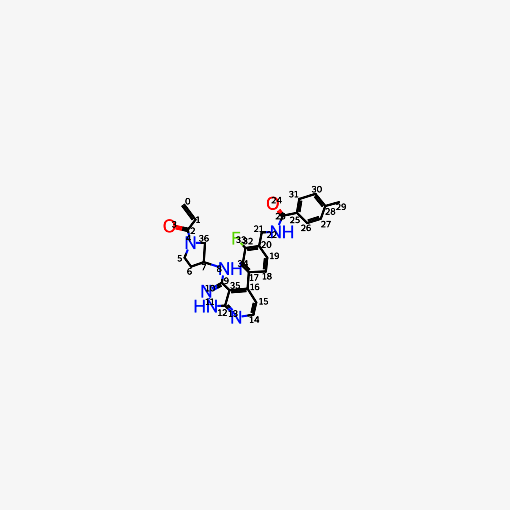 C=CC(=O)N1CCC(Nc2n[nH]c3nccc(-c4ccc(CNC(=O)c5ccc(C)cc5)c(F)c4)c23)C1